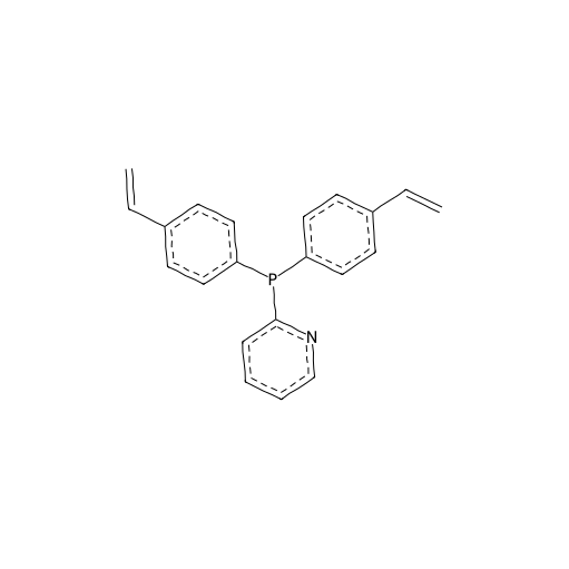 C=Cc1ccc(P(c2ccc(C=C)cc2)c2ccccn2)cc1